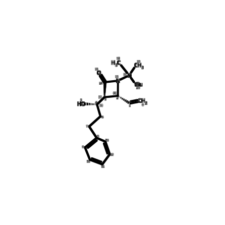 C=C[C@@H]1[C@@H]([C@@H](O)CCc2ccccc2)C(=O)N1[Si](C)(C)C(C)(C)C